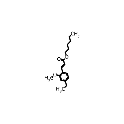 CCCCCCOC(=O)C=Cc1ccc(CC)cc1OC